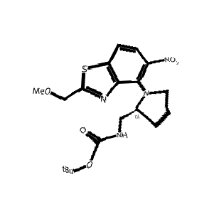 COCc1nc2c(N3CCC[C@H]3CNC(=O)OC(C)(C)C)c([N+](=O)[O-])ccc2s1